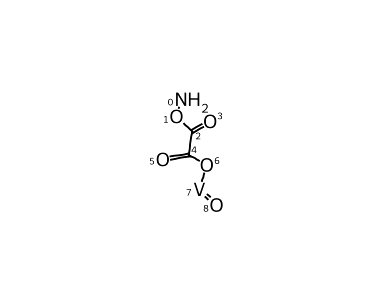 NOC(=O)C(=O)[O][V]=[O]